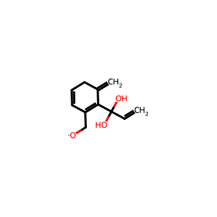 C=CC(O)(O)C1=C(C[O])C=CCC1=C